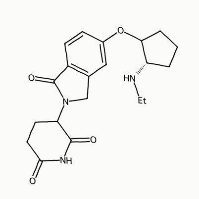 CCN[C@H]1CCCC1Oc1ccc2c(c1)CN(C1CCC(=O)NC1=O)C2=O